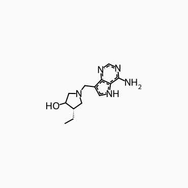 CC[C@H]1CN(Cc2c[nH]c3c(N)ncnc23)CC1O